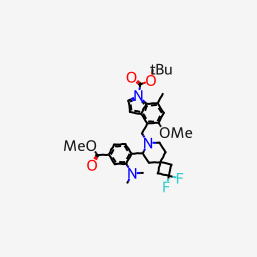 COC(=O)c1ccc(C2CC3(CCN2Cc2c(OC)cc(C)c4c2ccn4C(=O)OC(C)(C)C)CC(F)(F)C3)c(N(C)C)c1